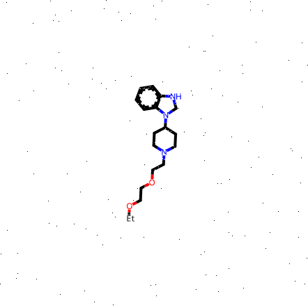 CCOCCOCCN1CCC(N2[CH]Nc3ccccc32)CC1